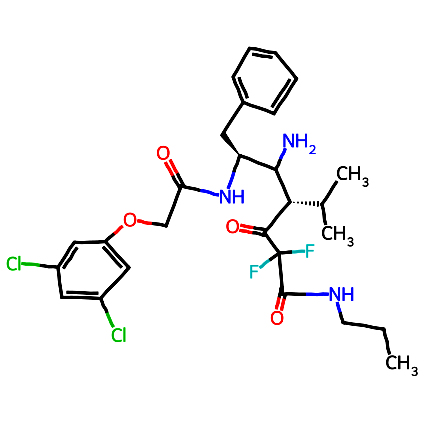 CCCNC(=O)C(F)(F)C(=O)[C@@H](C(C)C)C(N)[C@H](Cc1ccccc1)NC(=O)COc1cc(Cl)cc(Cl)c1